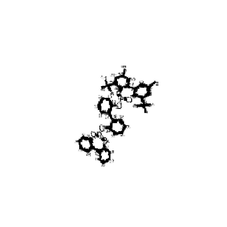 Cc1cc(C(C)(C)C)c2op(Oc3ccccc3-c3ccccc3Op3oc4ccccc4c4ccccc4o3)oc3c(C(C)(C)C)cc(C)cc3c2c1